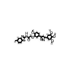 COc1ccc(-c2cc(-c3cc(OC)c(OC)c(OC)c3)no2)cc1OCC(=O)Nc1nc2cc(C)ccc2s1